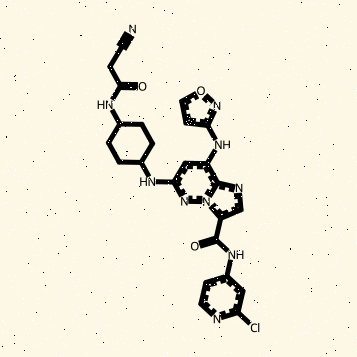 N#CCC(=O)NC1CCC(Nc2cc(Nc3ccon3)c3ncc(C(=O)Nc4ccnc(Cl)c4)n3n2)CC1